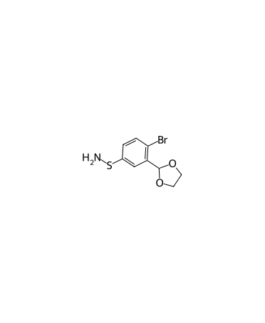 NSc1ccc(Br)c(C2OCCO2)c1